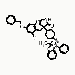 CC(C)(C)[Si](OC1CCC(C2(Cc3c(Cl)cc(OCc4ccccc4)cc3Cl)CCNC2=O)CC1)(c1ccccc1)c1ccccc1